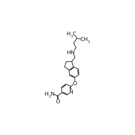 CC(C)CCNCC1CCc2cc(Oc3ccc(C(N)=O)cn3)ccc21